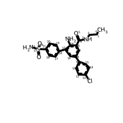 CCCNC(=O)c1cc(-c2ccc(Cl)cc2)cc(-c2ccc(S(N)(=O)=O)cc2)c1N